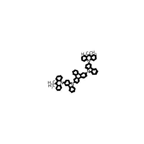 CC1(C)c2ccccc2N(c2ccc3c(c2)c2ccccc2n3-c2ccc3c4ccc(-n5c6ccccc6c6cc(N7c8ccccc8C(C)(C)c8ccccc87)ccc65)cc4c4ccccc4c3c2)c2ccccc21